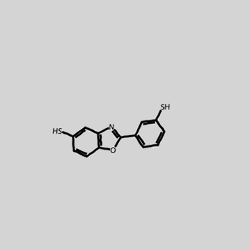 Sc1cccc(-c2nc3cc(S)ccc3o2)c1